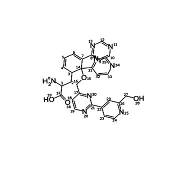 NC(CC1C=CC=C(c2ccncn2)C1(OCc1ccnc(-c2ccnc(CO)c2)n1)c1ccncn1)C(=O)O